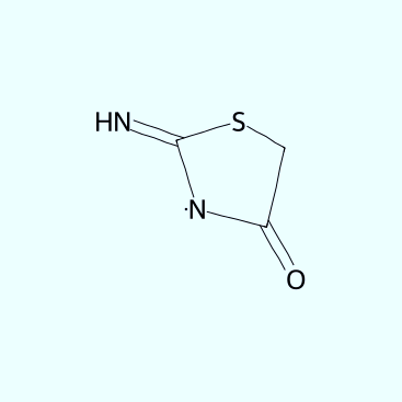 N=C1[N]C(=O)CS1